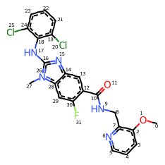 COc1cccnc1CNC(=O)c1cc2nc(Nc3c(Cl)cccc3Cl)n(C)c2cc1F